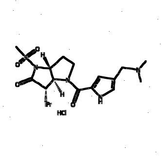 CC(C)[C@@H]1C(=O)N(S(C)(=O)=O)[C@@H]2CCN(C(=O)c3cc(CN(C)C)c[nH]3)[C@H]21.Cl